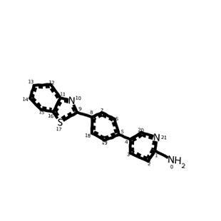 Nc1ccc(-c2ccc(-c3nc4ccccc4s3)cc2)cn1